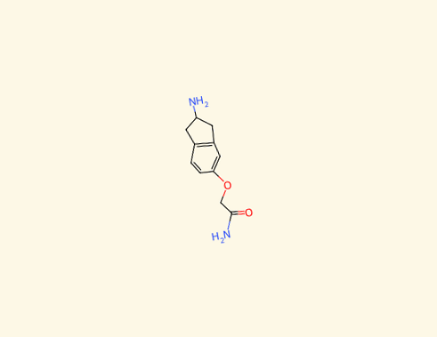 NC(=O)COc1ccc2c(c1)CC(N)C2